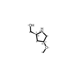 CO[C@@H]1CN[C@H](CO)C1